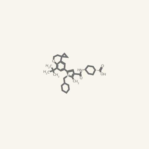 Cc1c(C(=O)N[C@H]2CC[C@@H](C(=O)O)CC2)cc(-c2cc(C(C)(C)C)c3c(c2)C2(CCO3)CC2)n1CC1CCCCC1